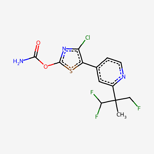 CC(CF)(c1cc(-c2sc(OC(N)=O)nc2Cl)ccn1)C(F)F